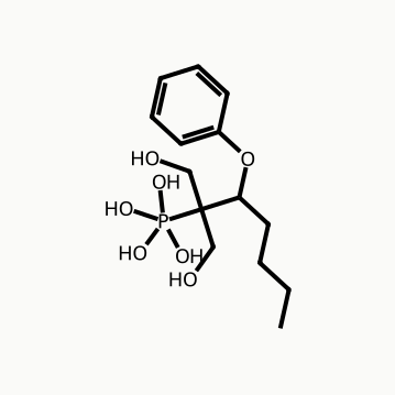 CCCCC(Oc1ccccc1)C(CO)(CO)P(O)(O)(O)O